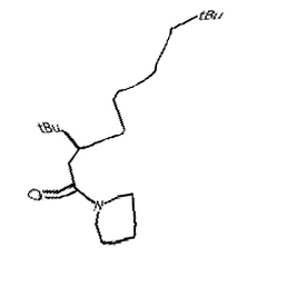 CC(C)(C)CCCCC(C(=O)N1CCC1)C(C)(C)C